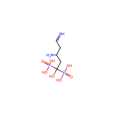 N=CCC(N)CC(O)(P(=O)(O)O)P(=O)(O)O